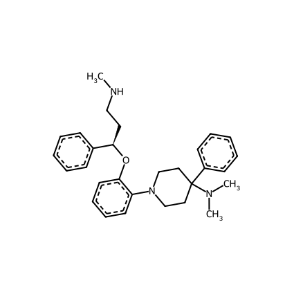 CNCC[C@@H](Oc1ccccc1N1CCC(c2ccccc2)(N(C)C)CC1)c1ccccc1